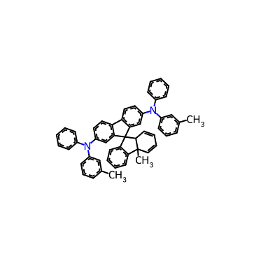 Cc1cccc(N(c2ccccc2)c2ccc3c(c2)C2(c4cc(N(c5ccccc5)c5cccc(C)c5)ccc4-3)c3ccccc3C3(C)C=CC=CC32)c1